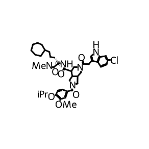 CNC(=O)[C@H](CCCC1CCCCCC1)NC(=O)C1CN(C(=O)Cc2c[nH]c3cc(Cl)ccc23)CC2CN(C(=O)c3ccc(OC(C)C)c(OC)c3)CC21